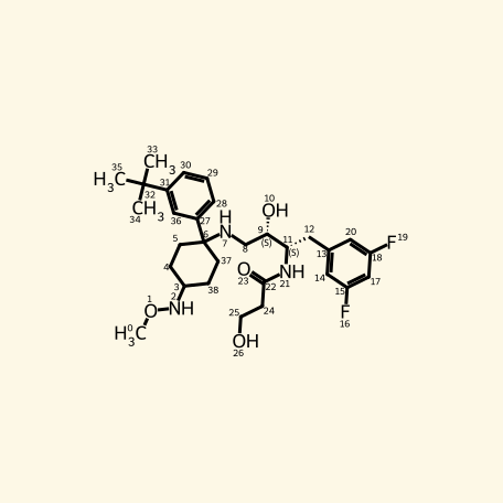 CONC1CCC(NC[C@H](O)[C@H](Cc2cc(F)cc(F)c2)NC(=O)CCO)(c2cccc(C(C)(C)C)c2)CC1